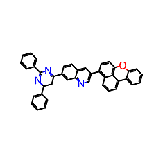 c1ccc(C2=NC(c3ccccc3)CC(c3ccc4cc(-c5ccc6c7c(cccc57)-c5ccccc5O6)cnc4c3)=N2)cc1